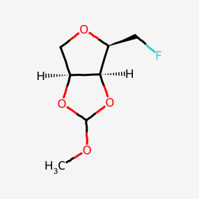 COC1O[C@@H]2[C@H](CF)OC[C@@H]2O1